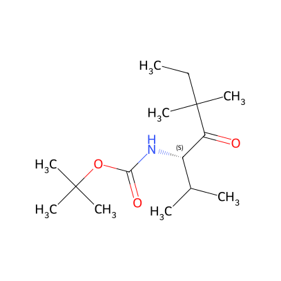 CCC(C)(C)C(=O)[C@@H](NC(=O)OC(C)(C)C)C(C)C